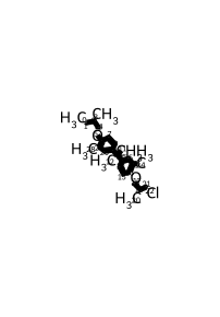 CC[C@H](C)COc1ccc(C(C)(C)c2ccc(OC[C@@H](C)CCl)c(C)c2)cc1C